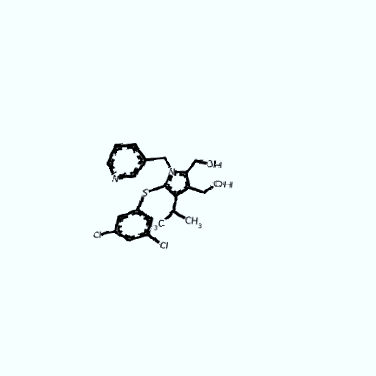 CC(C)c1c(CO)c(CO)n(Cc2cccnc2)c1Sc1cc(Cl)cc(Cl)c1